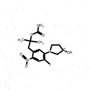 CC(C)(Cc1cc(N2CC[C@@H](O)C2)c(I)cc1[N+](=O)[O-])OC(N)=O